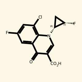 O=C(O)c1cn([C@@H]2C[C@@H]2F)c2c(Cl)cc(F)cc2c1=O